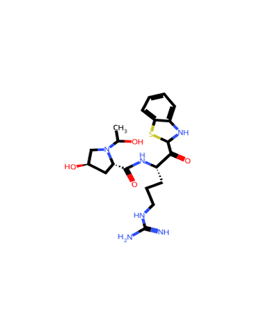 CC(O)N1C[C@H](O)C[C@H]1C(=O)N[C@@H](CCCNC(=N)N)C(=O)C1Nc2ccccc2S1